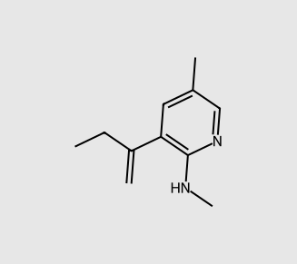 C=C(CC)c1cc(C)cnc1NC